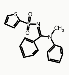 CN(/C(=N/S(=O)(=O)c1cccs1)c1ccccc1)c1ccccc1